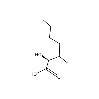 CCCCC(C)[C@H](O)C(=O)O